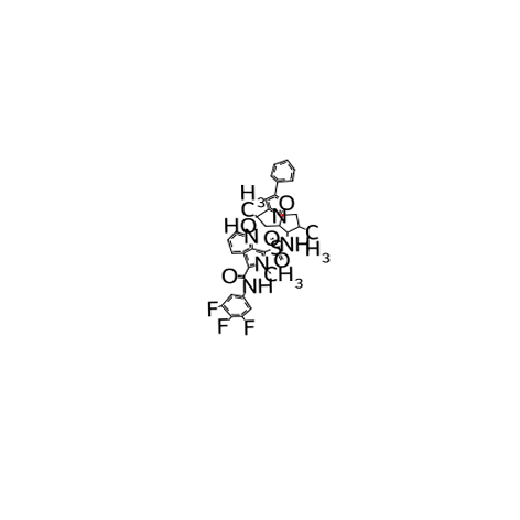 CC1CCC(CC(C)(O)c2cc(-c3ccccc3)on2)C1NS(=O)(=O)c1c2ncccc2c(C(=O)Nc2cc(F)c(F)c(F)c2)n1C